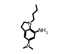 CCCCN1CCc2cc(N(C)C)cc(N)c21